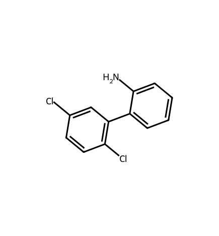 Nc1ccccc1-c1cc(Cl)ccc1Cl